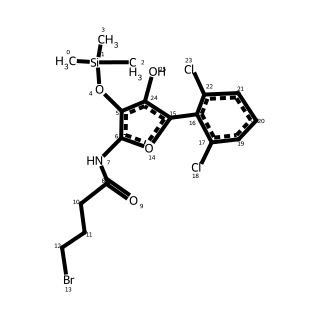 C[Si](C)(C)Oc1c(NC(=O)CCCBr)oc(-c2c(Cl)cccc2Cl)c1O